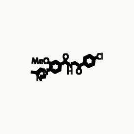 COc1cc(C(=O)NCC(=O)c2ccc(Cl)cc2)ccc1-n1cnc(C)c1